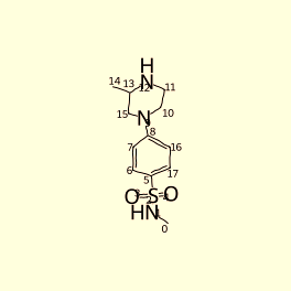 CNS(=O)(=O)c1ccc(N2CCNC(C)C2)cc1